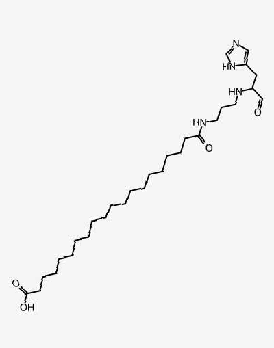 O=CC(Cc1cnc[nH]1)NCCCNC(=O)CCCCCCCCCCCCCCCCCCC(=O)O